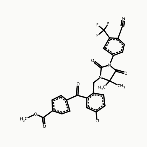 COC(=O)c1ccc(C(=O)c2cc(Cl)ccc2CN2C(=O)N(c3ccc(C#N)c(C(F)(F)F)c3)C(=O)C2(C)C)cc1